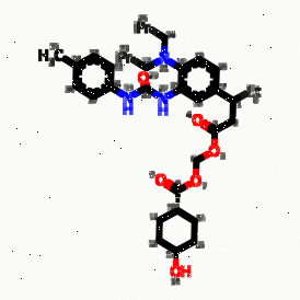 CCC(CC(=O)OCOC(=O)[C@H]1CC[C@H](O)CC1)c1ccc(N(CC(C)C)CC(C)C)c(NC(=O)Nc2ccc(C)cc2)c1